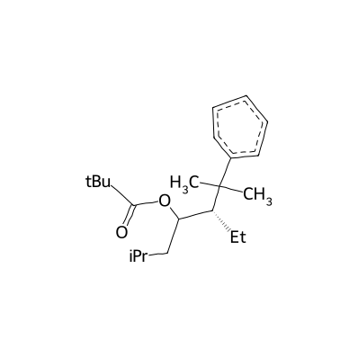 CC[C@H](C(CC(C)C)OC(=O)C(C)(C)C)C(C)(C)c1ccccc1